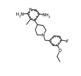 CCOc1cc(CN2CCC(c3c(N)cnc(N)c3C)CC2)ccc1F